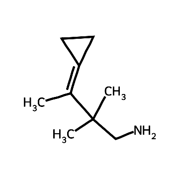 CC(=C1CC1)C(C)(C)CN